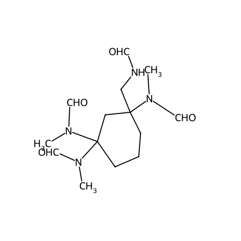 CN(C=O)C1(CNC=O)CCCC(N(C)C=O)(N(C)C=O)C1